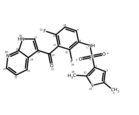 Cc1cc(S(=O)(=O)Nc2ccc(F)c(C(=O)c3c[nH]c4ncccc34)c2F)c(C)s1